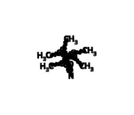 CCCCCCOc1cc2c3cc(OCCCCCC)c(OCCCCCC)cc3c3cc(OC(=O)c4ccc(C#N)cc4)c(OCCCCCC)cc3c2cc1OCCCCCC